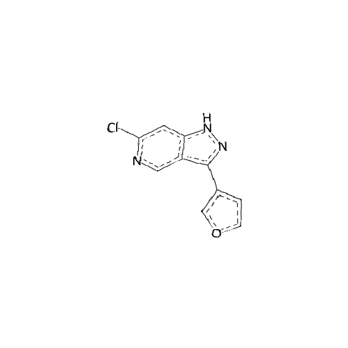 Clc1cc2[nH]nc(-c3ccoc3)c2cn1